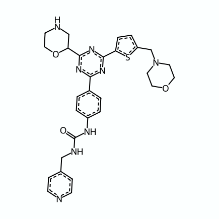 O=C(NCc1ccncc1)Nc1ccc(-c2nc(-c3ccc(CN4CCOCC4)s3)nc(C3CNCCO3)n2)cc1